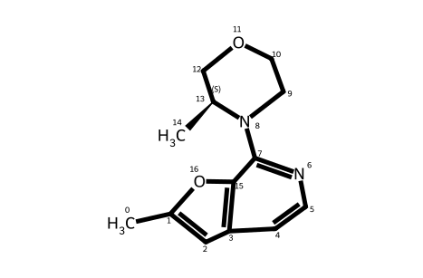 Cc1cc2ccnc(N3CCOC[C@@H]3C)c2o1